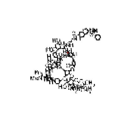 CN[C@H](CC(C)C)C(=O)N[C@H]1C(=O)N[C@@H](CC(N)=O)C(=O)NC2C(=O)N[C@H]3C(=O)N[C@H](C(=O)NC(C(=O)NCCCNC(=O)c4ccc5cc(NS(=O)(=O)c6ccccc6)ccc5c4)c4cc(O)cc(O)c4-c4cc3ccc4O)[C@H](O)c3ccc(c(Cl)c3)Oc3cc2cc(c3O[C@@H]2O[C@H](CO)[C@@H](O)[C@H](O)[C@H]2OC2C[C@](C)(N)[C@H](O)[C@H](C)O2)Oc2ccc(cc2)[C@H]1O